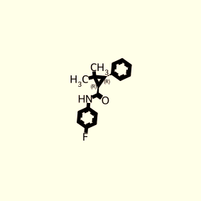 CC1(C)[C@H](C(=O)Nc2ccc(F)cc2)[C@H]1c1ccccc1